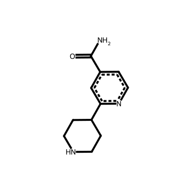 NC(=O)c1ccnc(C2CCNCC2)c1